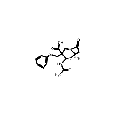 CC(=O)NC1S[C@@H]2CC(=O)N2CC1(CSc1ccncc1)C(=O)O